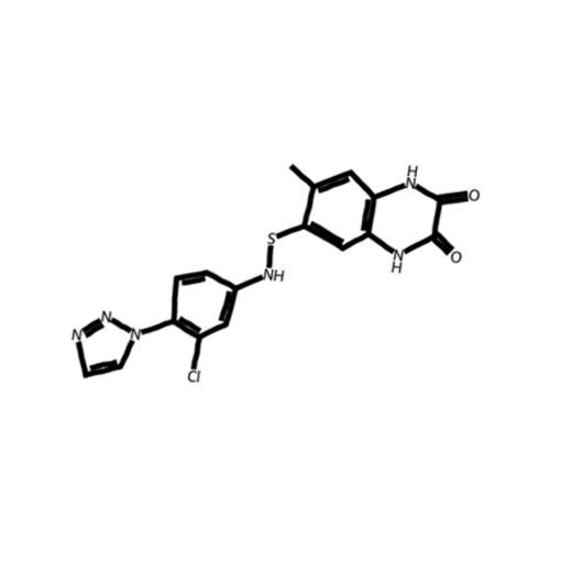 Cc1cc2[nH]c(=O)c(=O)[nH]c2cc1SNc1ccc(-n2ccnn2)c(Cl)c1